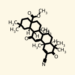 COC(=O)C12CCC(C)(C)C[C@H]1[C@H]1C(=O)C=C3[C@@]4(C)C=C(C#N)C(=O)C(C)(C)[C@@H]4CC[C@@]3(C)[C@]1(C)CC2